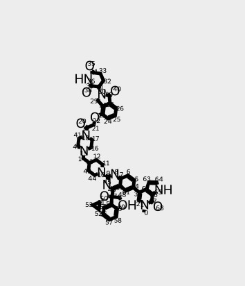 Cn1cc(-c2ccc3nc(N4CCC(CN5CCN(C(=O)COc6cccc7c6CN(C6CCC(=O)NC6=O)C7=O)CC5)CC4)nc(C(CO)(OC4CC4)c4ccccc4)c3c2)c2cc[nH]c2c1=O